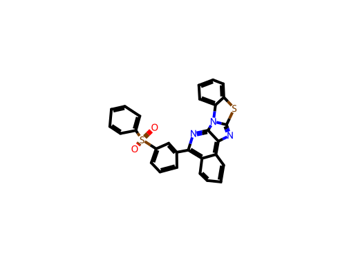 O=S(=O)(c1ccccc1)c1cccc(-c2nc3c(nc4sc5ccccc5n43)c3ccccc23)c1